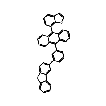 c1cc(-c2ccc3oc4ccccc4c3c2)cc(-c2c3ccccc3c(-c3cccc4ccoc34)c3ccccc23)c1